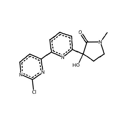 CN1CCC(O)(c2cccc(-c3ccnc(Cl)n3)n2)C1=O